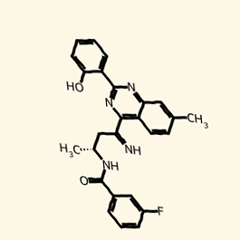 Cc1ccc2c(C(=N)C[C@@H](C)NC(=O)c3cccc(F)c3)nc(-c3ccccc3O)nc2c1